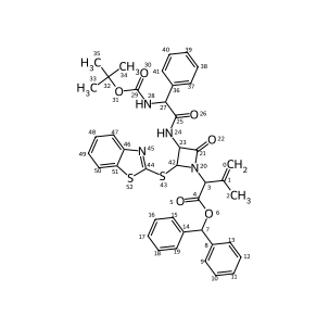 C=C(C)C(C(=O)OC(c1ccccc1)c1ccccc1)N1C(=O)C(NC(=O)C(NC(=O)OC(C)(C)C)c2ccccc2)C1Sc1nc2ccccc2s1